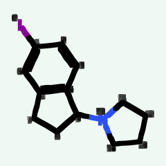 Ic1ccc2c(c1)CCC2N1CCCC1